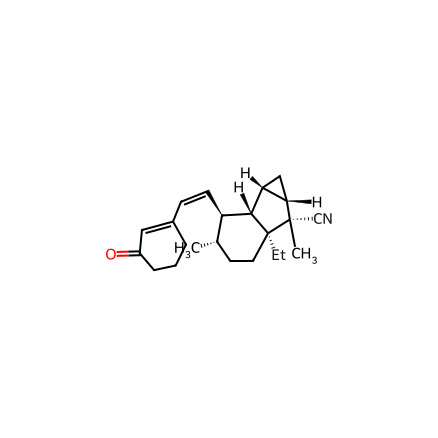 CC[C@]12CC[C@H](C)[C@@H](/C=C\C3=CC(=O)CCC3)[C@@H]1[C@@H]1C[C@@H]1[C@]2(C)C#N